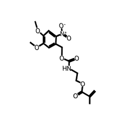 C=C(C)C(=O)OCCNC(=O)OCc1cc(OC)c(OC)cc1[N+](=O)[O-]